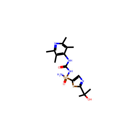 Cc1nc(C)c(C)c(NC(=O)N[SH](N)(=O)c2cnc(C(C)(C)O)s2)c1C